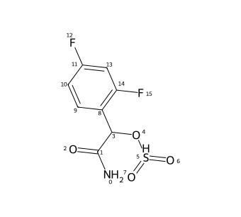 NC(=O)C(O[SH](=O)=O)c1ccc(F)cc1F